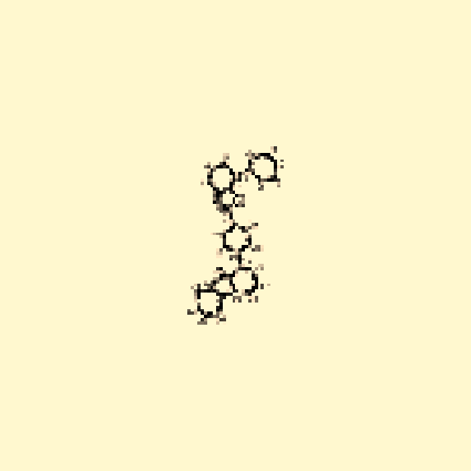 c1ccc(-c2cccc3nc(-c4ccc(-c5cccc6c5sc5ccccc56)cc4)oc23)cc1